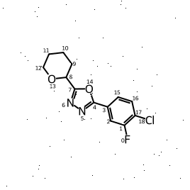 Fc1cc(-c2nnc(C3CCCCO3)o2)ccc1Cl